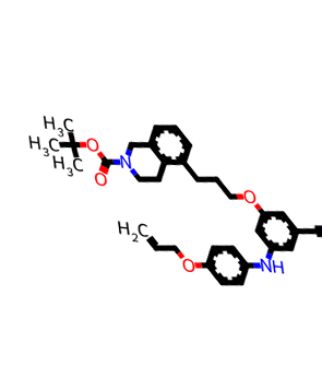 C=CCOc1ccc(Nc2cc(C#N)cc(OCCCc3cccc4c3CCN(C(=O)OC(C)(C)C)C4)c2)cc1